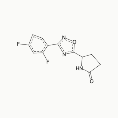 O=C1CCC(c2nc(-c3ccc(F)cc3F)no2)N1